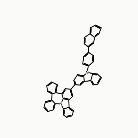 c1ccc2c(c1)-c1ccccc1-n1c3ccccc3c3cc(-c4ccc5c(c4)c4ccccc4n5-c4ccc(-c5ccc6ccccc6c5)cc4)cc-2c31